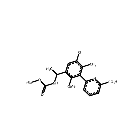 COc1c(C(C)NC(=O)OC(C)(C)C)cc(Cl)c(C)c1-c1cccc(C(=O)O)n1